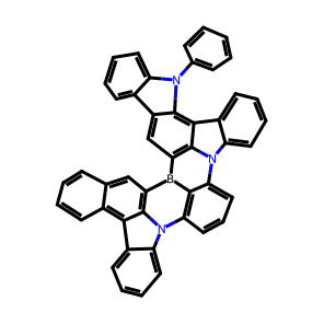 c1ccc(-n2c3ccccc3c3cc4c5c(c6ccccc6n5-c5cccc6c5B4c4cc5ccccc5c5c7ccccc7n-6c45)c32)cc1